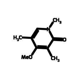 COc1c(C)cn(C)c(=O)c1C